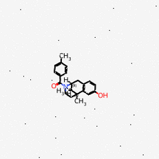 Cc1ccc(C(=O)N2CC[C@@]3(C)c4cc(O)ccc4C[C@@H]2[C@@H]3C)cc1